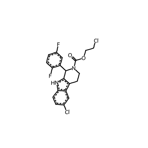 O=C(OCCCl)N1CCc2c([nH]c3ccc(Cl)cc23)C1c1cc(F)ccc1F